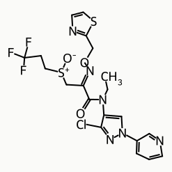 CCN(C(=O)C(C[S+]([O-])CCC(F)(F)F)=NOCc1nccs1)c1cn(-c2cccnc2)nc1Cl